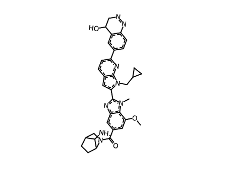 COc1cc(C(=O)N2CC3CCC2C3N)cc2nc(-c3cc4ccc(-c5ccc6c(c5)C(O)CN=N6)nc4n3CC3CC3)n(C)c12